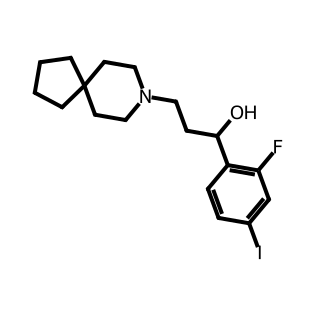 OC(CCN1CCC2(CCCC2)CC1)c1ccc(I)cc1F